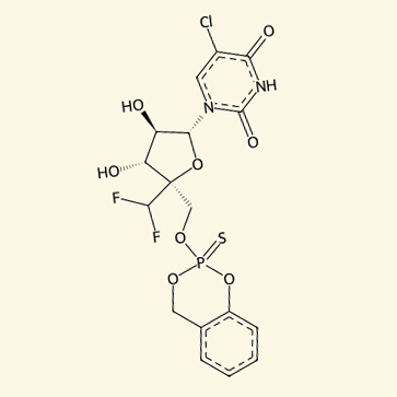 O=c1[nH]c(=O)n([C@@H]2O[C@@](COP3(=S)OCc4ccccc4O3)(C(F)F)[C@H](O)[C@H]2O)cc1Cl